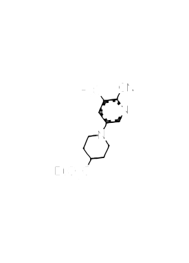 CCOC(=O)C1CCN(c2cnc(C#N)c(C(F)(F)F)c2)CC1